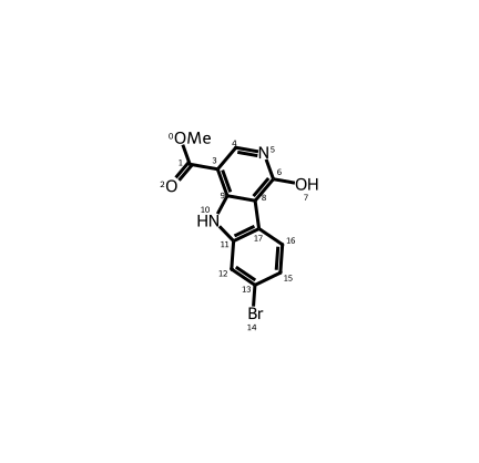 COC(=O)c1cnc(O)c2c1[nH]c1cc(Br)ccc12